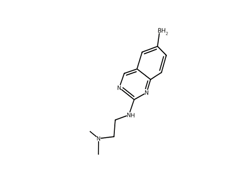 Bc1ccc2nc(NCCN(C)C)ncc2c1